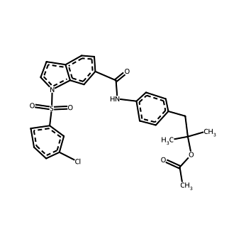 CC(=O)OC(C)(C)Cc1ccc(NC(=O)c2ccc3ccn(S(=O)(=O)c4cccc(Cl)c4)c3c2)cc1